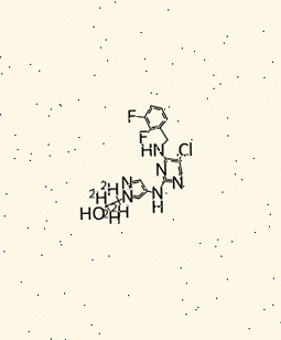 [2H]C([2H])(O)C([2H])([2H])n1cc(Nc2ncc(Cl)c(NCc3cccc(F)c3F)n2)cn1